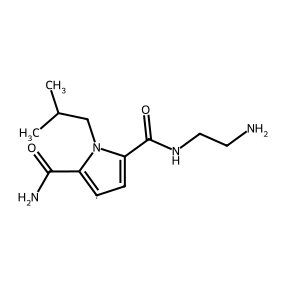 CC(C)Cn1c(C(N)=O)[c]cc1C(=O)NCCN